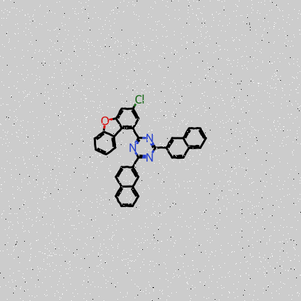 Clc1cc(-c2nc(-c3ccc4ccccc4c3)nc(-c3ccc4ccccc4c3)n2)c2c(c1)oc1ccccc12